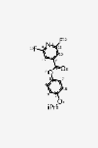 CC(C)Oc1ccc(OC(=O)c2cc(F)nc(F)c2)cc1